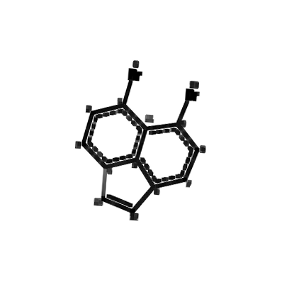 Brc1ccc2c3c(ccc(Br)c13)C=C2